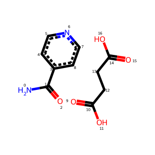 NC(=O)c1ccncc1.O=C(O)CCC(=O)O